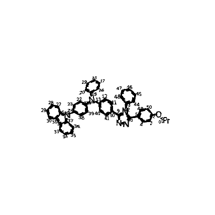 CC(C)Oc1ccc(-c2nnc(-c3ccc(N(c4ccccc4)c4ccc(-n5c6ccccc6c6ccccc65)cc4)cc3)n2-c2ccccc2)cc1